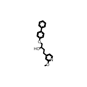 COc1cc(CCC(O)COc2ccc(-c3ccccc3)cc2)ccn1